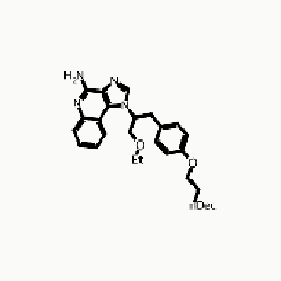 CCCCCCCCCCCCOc1ccc(CC(COCC)n2cnc3c(N)nc4ccccc4c32)cc1